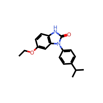 CCOc1ccc2[nH]c(=O)n(-c3ccc(C(C)C)cc3)c2c1